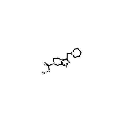 CC(C)(C)OC(=O)N1CCn2c(CN3CCCCC3)nnc2C1